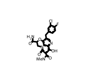 CNC(=O)c1c(O)c2ncc(Cc3ccc(F)c(Cl)c3)c3c2n(c1=O)CC(C(N)=O)O3